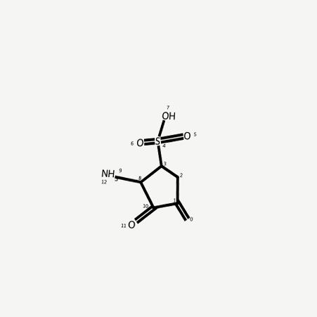 C=C1CC(S(=O)(=O)O)C(C)C1=O.N